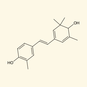 CC1=CC(C=Cc2ccc(O)c(C)c2)=CC(C)(C)C1O